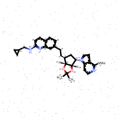 CNc1nccc2c1ccn2[C@@H]1C[C@H](CCc2ccc3ccc(NCC4CC4)nc3c2)[C@H]2OC(C)(C)O[C@H]21